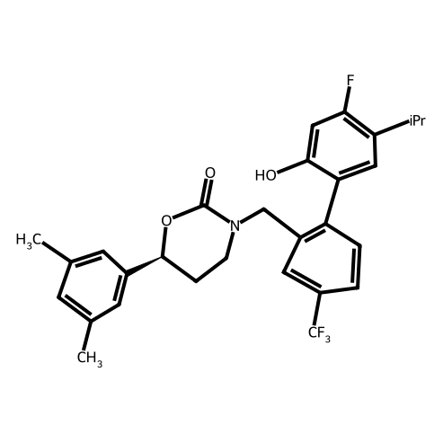 Cc1cc(C)cc([C@@H]2CCN(Cc3cc(C(F)(F)F)ccc3-c3cc(C(C)C)c(F)cc3O)C(=O)O2)c1